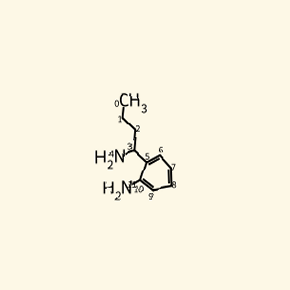 CCCC(N)c1ccccc1N